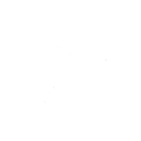 C\C=C/C=C(C)/C(CCCO)=C(/c1ccc(O)cc1)c1ccc(N2CCN(C3CCC3)CC2)cc1